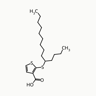 CCCCCCCCCC(CCCC)Sc1sccc1C(=O)O